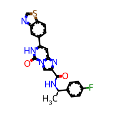 C[C@@H](NC(=O)c1cn2c(=O)[nH]c(-c3ccc4scnc4c3)cc2n1)c1ccc(F)cc1